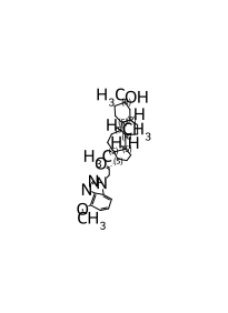 COc1cccc2c1nnn2CC(=O)[C@H]1CC[C@H]2[C@@H]3CC[C@@H]4C[C@](C)(O)CC[C@]4(C)[C@H]3CC[C@]12C